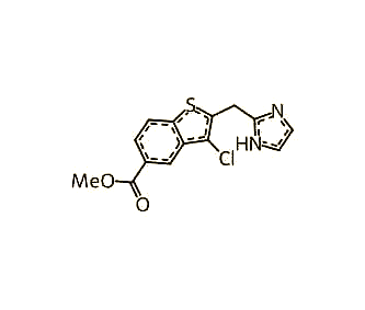 COC(=O)c1ccc2sc(Cc3ncc[nH]3)c(Cl)c2c1